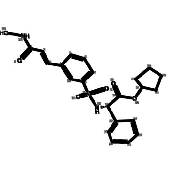 O=C(/C=C/c1cccc(S(=O)(=O)N[C@H](C(=O)OC2CCCC2)c2ccccc2)c1)NO